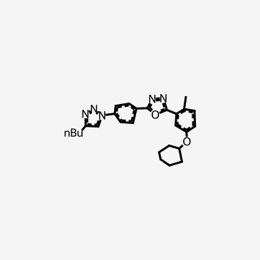 CCCCc1cn(-c2ccc(-c3nnc(-c4cc(OC5CCCCC5)ccc4C)o3)cc2)nn1